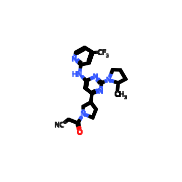 CC1CCCN1c1nc(Nc2cc(C(F)(F)F)ccn2)cc(C2CCN(C(=O)CC#N)C2)n1